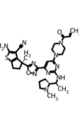 C=CC(=O)N1CCN(c2cc(-c3noc([C@@]4(C)CCc5sc(N)c(C#N)c54)n3)nc(N[C@@H](C)[C@@H]3CCCN3C)n2)CC1